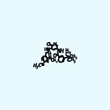 CNc1nc(SC)ncc1CCNc1cc(NC(=O)c2cccc(C(C)(C)C)c2)cnc1Cl